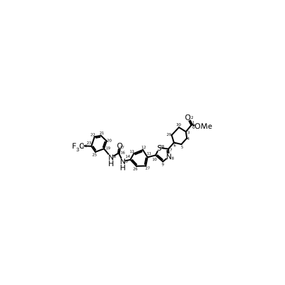 COC(=O)C1CCC(c2ncc(-c3ccc(NC(=O)Nc4cccc(C(F)(F)F)c4)cc3)s2)CC1